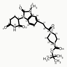 Cn1c(=O)n(C2CCC(=O)NC2=O)c2ccc(CCC(=O)N3CCN(C(=O)OC(C)(C)C)CC3)cc21